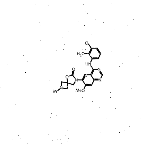 COc1cc2ncnc(Nc3cccc(Cl)c3C)c2cc1N1CC2(CN(C(C)C)C2)OC1=O